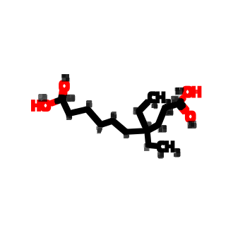 CCC(CC)(CCCCCC(=O)O)CCC(=O)O